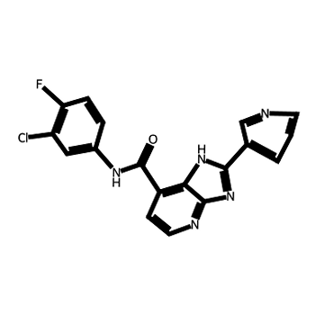 O=C(Nc1ccc(F)c(Cl)c1)c1ccnc2nc(-c3cccnc3)[nH]c12